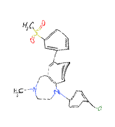 CN1CCN(c2ccc(Cl)cc2)c2ccc(-c3cccc(S(C)(=O)=O)c3)cc2C1